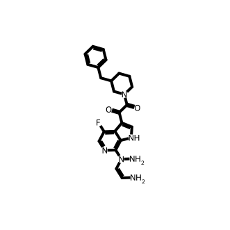 N/C=C\N(N)c1ncc(F)c2c(C(=O)C(=O)N3CCCC(Cc4ccccc4)C3)c[nH]c12